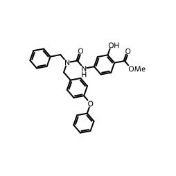 COC(=O)c1ccc(NC(=O)N(Cc2ccccc2)Cc2ccc(Oc3ccccc3)cc2)cc1O